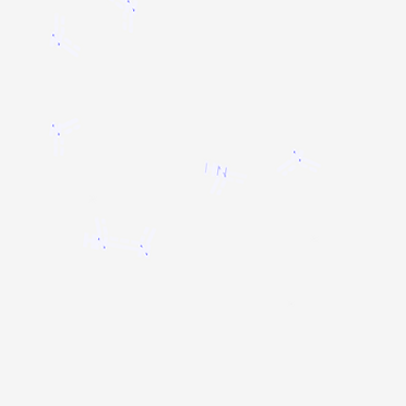 Fc1ccc(-c2ccnc3[nH]c(-c4n[nH]c5cnc(-c6cnccn6)cc45)cc23)cc1